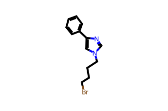 BrCCCCn1cnc(-c2ccccc2)c1